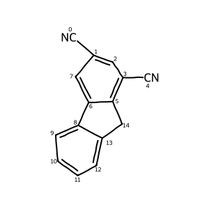 N#Cc1cc(C#N)c2c(c1)-c1ccccc1C2